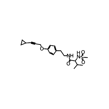 CC(C)C(NS(C)(=O)=O)C(=O)NCCc1ccc(OCC#CC2CC2)cc1